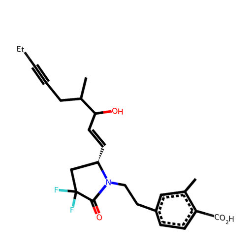 CCC#CCC(C)C(O)C=C[C@H]1CC(F)(F)C(=O)N1CCc1ccc(C(=O)O)c(C)c1